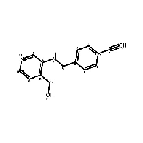 C#Cc1ccc(CNc2cnccc2CO)cc1